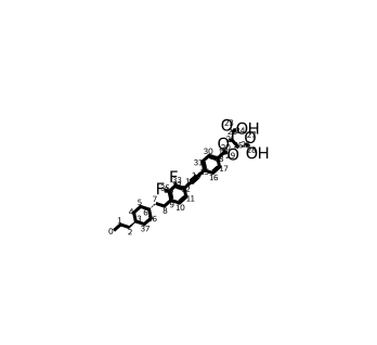 CCC[C@H]1CC[C@H](CCc2ccc(C#Cc3ccc(C4O[C@@H](C(=O)O)[C@H](C(=O)O)O4)cc3)c(F)c2F)CC1